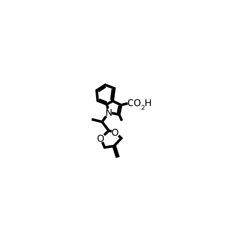 C=C1COC(C(C)n2c(C)c(C(=O)O)c3ccccc32)OC1